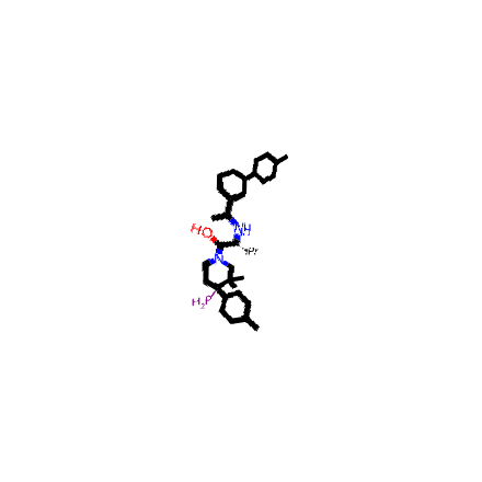 CC1CCC(C2CCCC(C(C)N[C@H](C(C)C)C(O)N3CC[C@](P)(C4CCC(C)CC4)C(C)(C)C3)C2)CC1